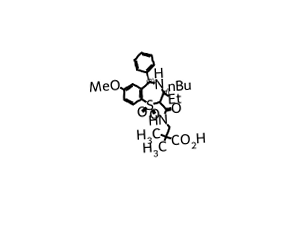 CCCC[C@@]1(CC)N[C@H](c2ccccc2)c2cc(OC)ccc2S(=O)(=O)C1C(=O)NCC(C)(C)C(=O)O